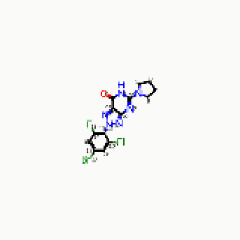 O=c1[nH]c(N2CCCC2)nc2nn(-c3c(F)cc(Br)cc3Cl)nc12